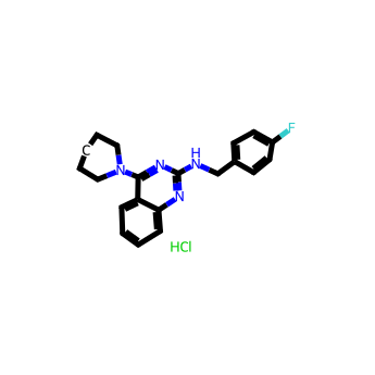 Cl.Fc1ccc(CNc2nc(N3CCCCC3)c3ccccc3n2)cc1